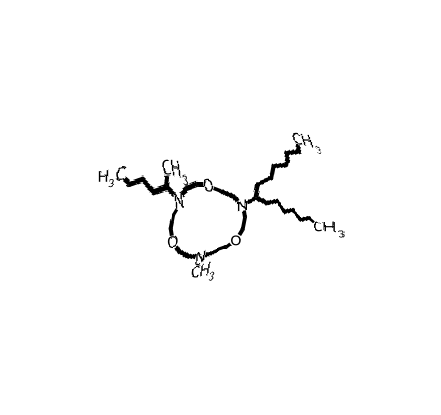 CCCCCCCC(CCCCCCC)N1CCOCCN(C)CCOCCN(C(C)CCCC)CCOCC1